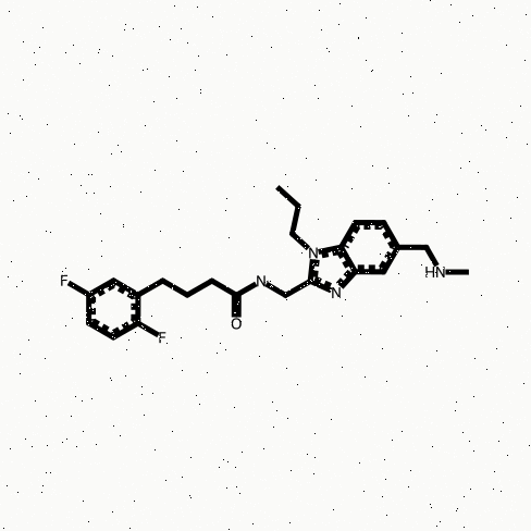 CCCn1c(C[N]C(=O)CCCc2cc(F)ccc2F)nc2cc(CNC)ccc21